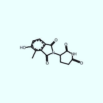 Cc1c(O)ccc2c1C(=O)N(C1CCC(=O)NC1=O)C2=O